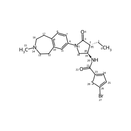 CC[C@H]1C(=O)N(c2ccc3c(c2)CCN(C)CC3)C[C@@H]1NC(=O)c1ccc(Br)s1